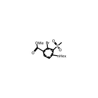 CCCCCCc1ccc(C(=O)OC)c(Br)c1S(C)(=O)=O